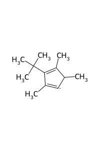 CC1=[C]C(C)C(C)=C1C(C)(C)C